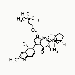 CC[C@H]1[C@H]2CC[C@@H]1N(c1nc3c(c(-c4ccc5nn(C)cc5c4Cl)cn3COCC[Si](C)(C)C)c(=O)n1C)C2